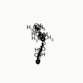 Cc1cc(OCCCC(=O)NCCNC(=O)OCc2ccccc2)cc(C)c1S(=O)(=O)N[C@@H](CNC(=O)OC(C)(C)C)C(=O)O